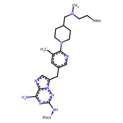 CCC[C@H](C)Nc1nc(N)c2ncc(Cc3cnc(N4CCC(CN(C)CCNC)CC4)c(C)c3)n2n1